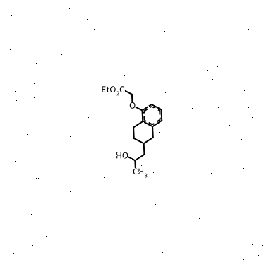 CCOC(=O)COc1cccc2c1CCC(CC(C)O)C2